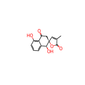 CC1=C[C@]2(CC(=O)c3c(O)cccc3[C@@H]2O)OC1=O